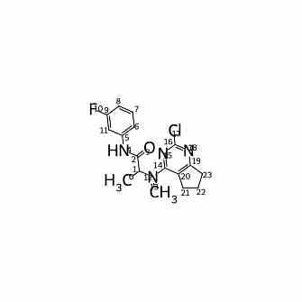 CC(C(=O)Nc1cccc(F)c1)N(C)c1nc(Cl)nc2c1CCC2